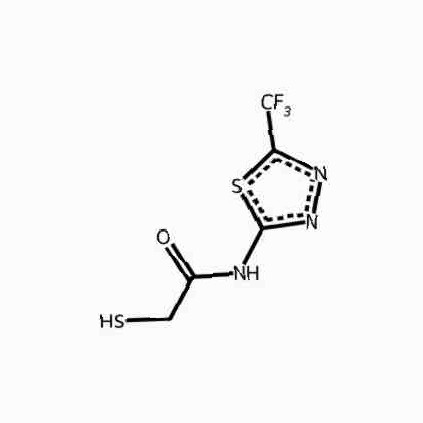 O=C(CS)Nc1nnc(C(F)(F)F)s1